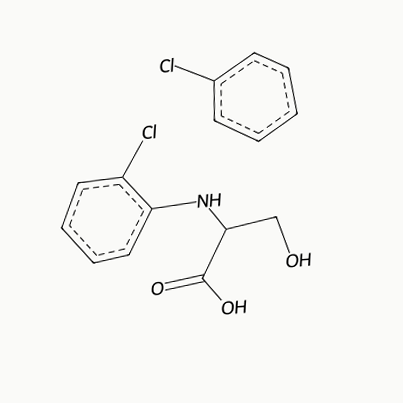 Clc1ccccc1.O=C(O)C(CO)Nc1ccccc1Cl